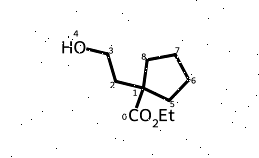 CCOC(=O)C1(CCO)CCCC1